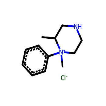 CC1CNCC[N+]1(C)c1ccccc1.[Cl-]